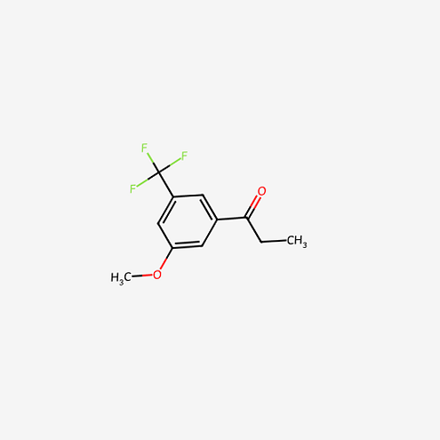 CCC(=O)c1cc(OC)cc(C(F)(F)F)c1